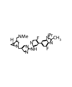 CNC[C@H]1CN(Cc2cnc(Nc3cc(-c4cc(F)c5nc(C)n(C(C)C)c5c4)c(F)cn3)nc2)C2C[C@H]21